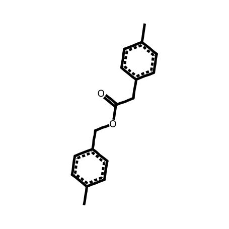 Cc1ccc(COC(=O)Cc2ccc(C)cc2)cc1